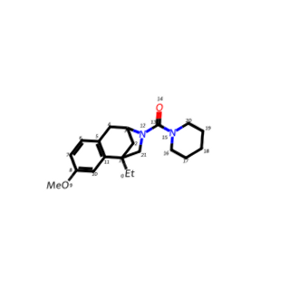 CCC12CC(Cc3ccc(OC)cc31)N(C(=O)N1CCCCC1)C2